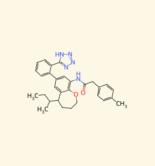 CCC(C)C1CCCOc2c(NC(=O)Cc3ccc(C)cc3)cc(-c3ccccc3-c3nnn[nH]3)cc21